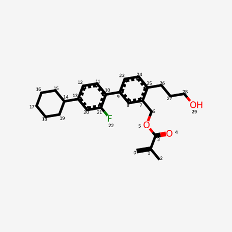 C=C(C)C(=O)OCc1cc(-c2ccc(C3CCCCC3)cc2F)ccc1CCCO